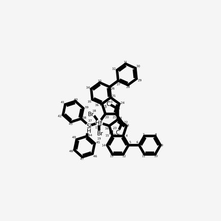 CCC1=Cc2c(-c3ccccc3)cccc2[CH]1[Hf]([Br])([Br])([CH]1C(CC)=Cc2c(-c3ccccc3)cccc21)[SiH](c1ccccc1)c1ccccc1